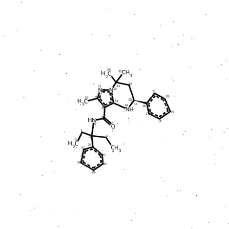 CCC(CC)(NC(=O)c1c(C)nn2c1N[C@H](c1ccccc1)CC2(C)C)c1ccccc1